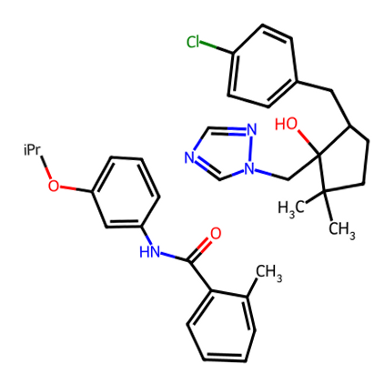 CC1(C)CCC(Cc2ccc(Cl)cc2)C1(O)Cn1cncn1.Cc1ccccc1C(=O)Nc1cccc(OC(C)C)c1